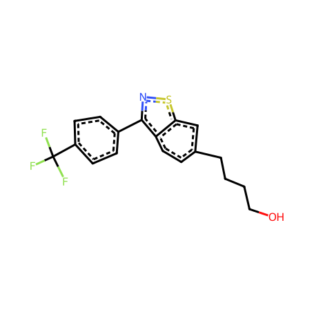 OCCCCc1ccc2c(-c3ccc(C(F)(F)F)cc3)nsc2c1